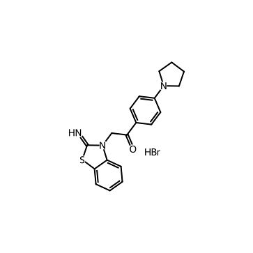 Br.N=c1sc2ccccc2n1CC(=O)c1ccc(N2CCCC2)cc1